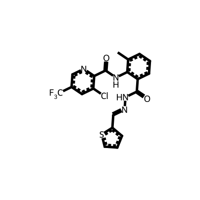 Cc1cccc(C(=O)NN=Cc2cccs2)c1NC(=O)c1ncc(C(F)(F)F)cc1Cl